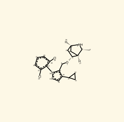 C[C@H]1N[C@H]2C[C@@H]1[C@H](OCc1c(C3CC3)cnn1-c1c(Cl)cccc1Cl)C2